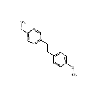 FC(F)(F)Sc1ccc(CCc2ccc(SC(F)(F)F)cc2)cc1